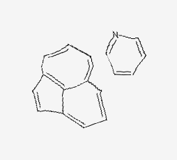 C1=Cc2cccc3cccc1c23.c1ccncc1